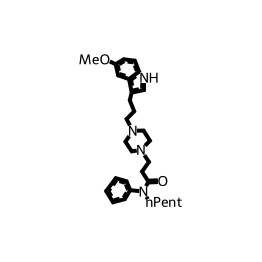 CCCCCN(C(=O)CCN1CCN(CCCc2c[nH]c3ccc(OC)cc23)CC1)c1ccccc1